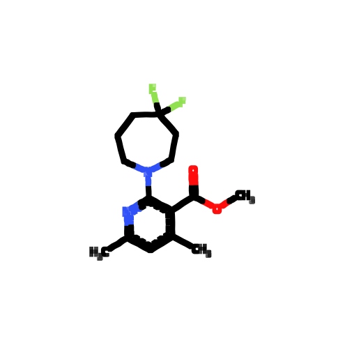 COC(=O)c1c(C)cc(C)nc1N1CCCC(F)(F)CC1